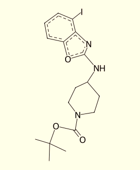 CC(C)(C)OC(=O)N1CCC(Nc2nc3c(I)cccc3o2)CC1